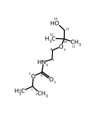 CC(C)OC(=O)NCCOC(C)(C)CO